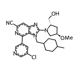 CO[C@@H]1C[C@@H](CO)N(c2nc3cc(C#N)nc(-c4cncc(Cl)c4)c3n2CC2CCC(C)CC2)C1